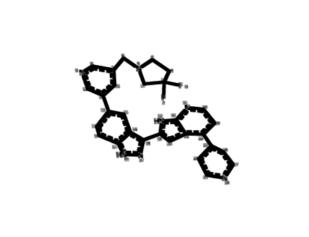 FC1(F)CCN(Cc2cncc(-c3ccc4[nH]nc(-c5cc6c(-c7ccncc7)ccnc6[nH]5)c4c3)c2)C1